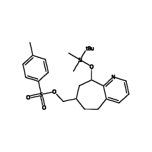 Cc1ccc(S(=O)(=O)OCC2CCc3cccnc3C(O[Si](C)(C)C(C)(C)C)C2)cc1